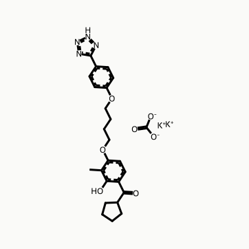 Cc1c(OCCCCOc2ccc(-c3nn[nH]n3)cc2)ccc(C(=O)C2CCCC2)c1O.O=C([O-])[O-].[K+].[K+]